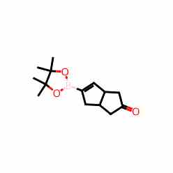 CC1(C)OB(C2=CC3CC(=O)CC3C2)OC1(C)C